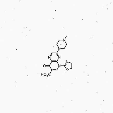 CN1CCN(c2cnc3c(=O)c(C(=O)O)cn(-c4nccs4)c3n2)CC1